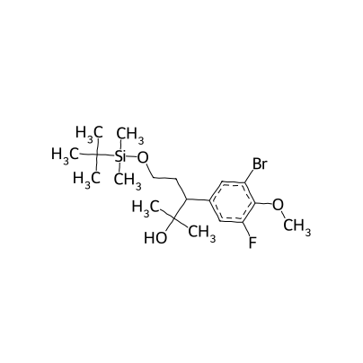 COc1c(F)cc(C(CCO[Si](C)(C)C(C)(C)C)C(C)(C)O)cc1Br